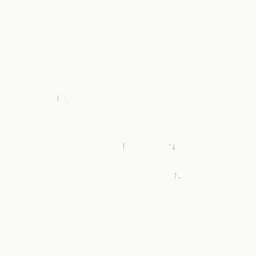 CCC1=C(n2ccnc2)CCc2ccc(C(=O)O)cc21